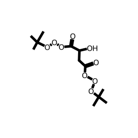 CC(C)(C)OOOC(=O)CC(O)C(=O)OOOC(C)(C)C